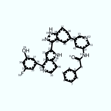 O=C(Cc1ccccc1)Nc1cncc(-c2ccc3[nH]nc(-c4cc5c(-c6cc(O)cc(F)c6)nccc5[nH]4)c3c2)c1